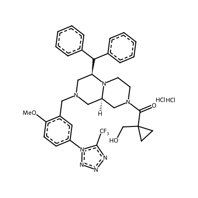 COc1ccc(-n2nnnc2C(F)(F)F)cc1CN1C[C@@H]2CN(C(=O)C3(CO)CC3)CCN2[C@H](C(c2ccccc2)c2ccccc2)C1.Cl.Cl